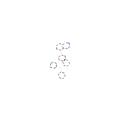 c1cc(-c2ccccc2N2c3ccccc3Sc3ccccc32)cc(-c2cccc3ncccc23)c1